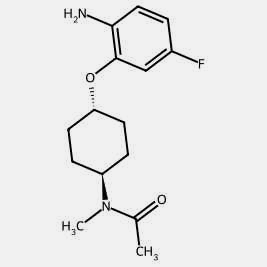 CC(=O)N(C)[C@H]1CC[C@H](Oc2cc(F)ccc2N)CC1